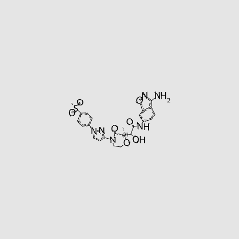 C[C@]1(C(O)C(=O)Nc2ccc3c(N)noc3c2)OCCN(c2ccn(-c3ccc(S(C)(=O)=O)cc3)n2)C1=O